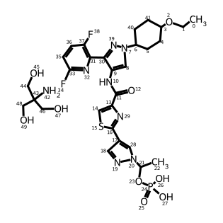 CCOC1CCC(n2cc(NC(=O)c3csc(-c4cnn(C(C)OP(=O)(O)O)c4)n3)c(-c3nc(F)ccc3F)n2)CC1.NC(CO)(CO)CO